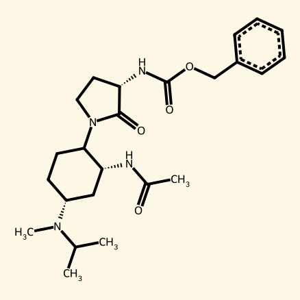 CC(=O)N[C@@H]1C[C@H](N(C)C(C)C)CCC1N1CC[C@H](NC(=O)OCc2ccccc2)C1=O